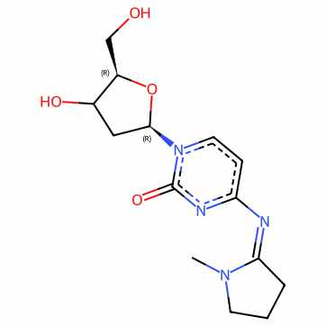 CN1CCCC1=Nc1ccn([C@H]2CC(O)[C@@H](CO)O2)c(=O)n1